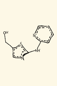 OCc1cnc(Nc2ccccn2)s1